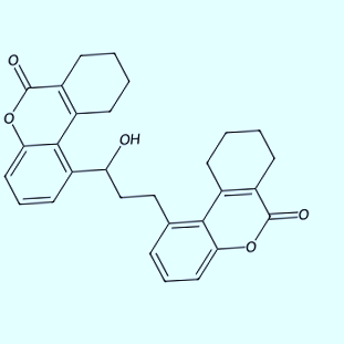 O=c1oc2cccc(CCC(O)c3cccc4oc(=O)c5c(c34)CCCC5)c2c2c1CCCC2